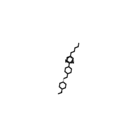 CCCCCc1cnc(C2CCC(CC[C@H]3CC[C@H](CC)CC3)CC2)nc1